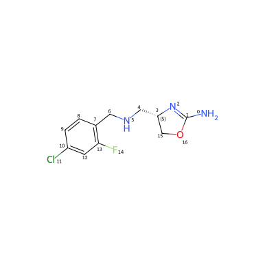 NC1=N[C@@H](CNCc2ccc(Cl)cc2F)CO1